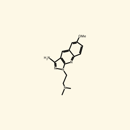 COc1ccc2nc3c(cc2c1)c(N)nn3CCN(C)C